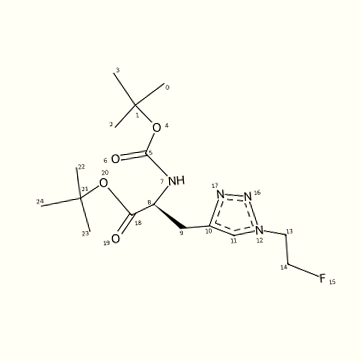 CC(C)(C)OC(=O)N[C@@H](Cc1cn(CCF)nn1)C(=O)OC(C)(C)C